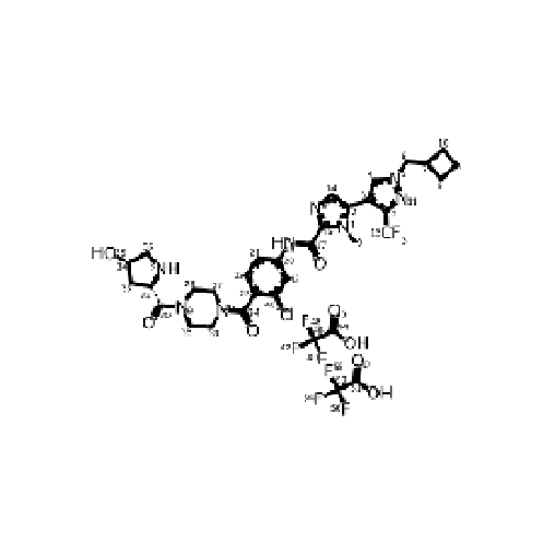 Cn1c(-c2cn(CC3CCC3)nc2C(F)(F)F)cnc1C(=O)Nc1ccc(C(=O)N2CCN(C(=O)[C@@H]3C[C@@H](O)CN3)CC2)c(Cl)c1.O=C(O)C(F)(F)F.O=C(O)C(F)(F)F